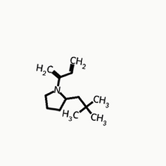 C=CC(=C)N1CCCC1CC(C)(C)C